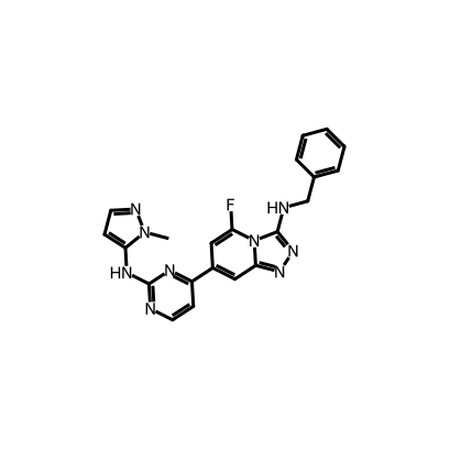 Cn1nccc1Nc1nccc(-c2cc(F)n3c(NCc4ccccc4)nnc3c2)n1